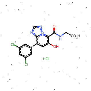 Cl.O=C(O)CNC(=O)c1c(O)cc(-c2cc(Cl)cc(Cl)c2)c2ncnn12